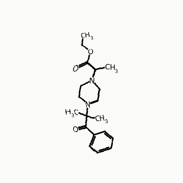 CCOC(=O)C(C)N1CCN(C(C)(C)C(=O)c2ccccc2)CC1